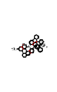 CC(C)(C)c1cc(-c2cccc3cccc(-c4ccccc4N(c4ccc5c(c4)C(c4ccccc4)(c4ccccc4)c4ccccc4-5)c4ccccc4-c4cccc5c4-c4ccccc4C5(C)C)c23)cc(C(C)(C)C)c1